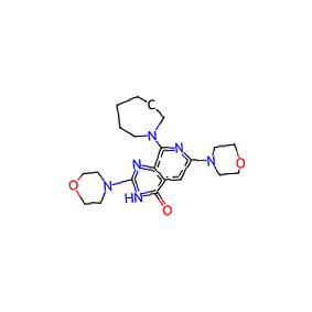 O=c1[nH]c(N2CCOCC2)nc2c(N3CCCCCC3)nc(N3CCOCC3)cc12